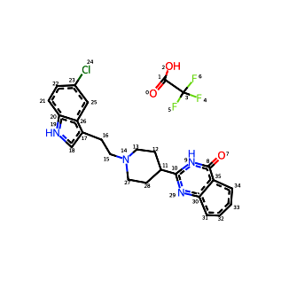 O=C(O)C(F)(F)F.O=c1[nH]c(C2CCN(CCc3c[nH]c4ccc(Cl)cc34)CC2)nc2ccccc12